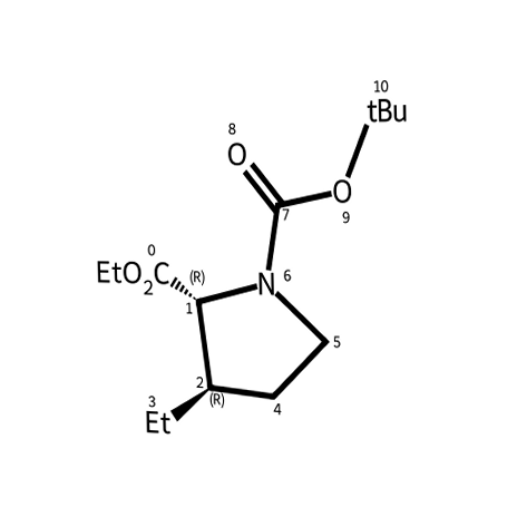 CCOC(=O)[C@H]1[C@H](CC)CCN1C(=O)OC(C)(C)C